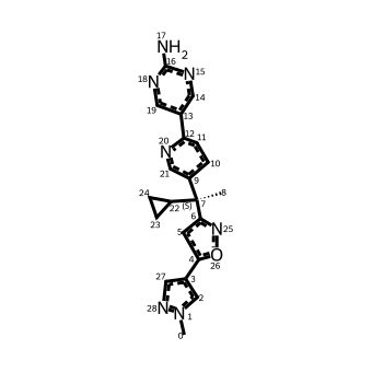 Cn1cc(-c2cc([C@](C)(c3ccc(-c4cnc(N)nc4)nc3)C3CC3)no2)cn1